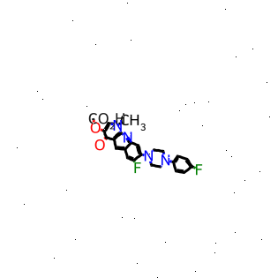 Cn1cc(OC(=O)O)c(=O)c2cc3cc(F)c(N4CCN(c5ccc(F)cc5)CC4)cc3nc21